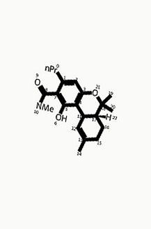 CCCc1cc2c(c(O)c1C(=O)NC)C1C=C(C)CC[C@H]1C(C)(C)O2